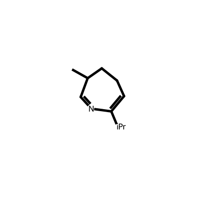 CC1C=NC(C(C)C)=CCC1